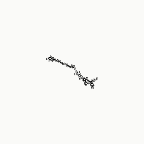 O=C(CCCCc1cn(CCOCCOCCOCCOCCC(=O)Oc2c(F)cc(F)cc2F)nn1)N[C@H]1C[C@H](OC(=O)N2CCC3(CC2)C(=O)N(Cc2nc4cc(Cl)ccc4n2CCCCF)c2cnccc23)C1